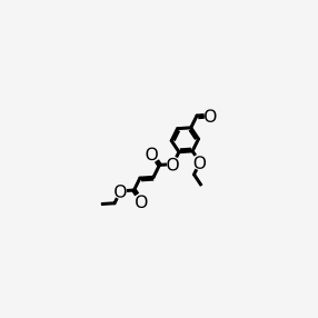 CCOC(=O)C=CC(=O)Oc1ccc(C=O)cc1OCC